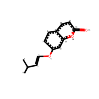 CC(C)C=COc1ccc2ccc(=O)oc2c1